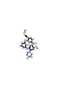 COc1cc(N2CCN(C)CC2)ccc1Nc1ccc(C#CSI)c(Oc2cccc(N)c2)n1